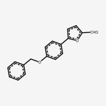 O=Cc1ccc(-c2ccc(OCc3ccccc3)cc2)o1